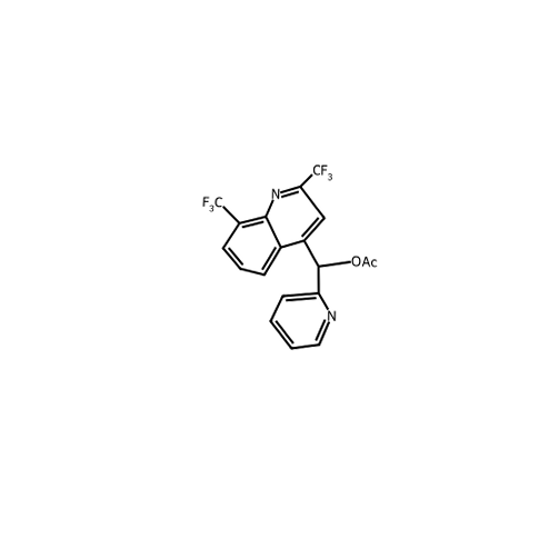 CC(=O)OC(c1ccccn1)c1cc(C(F)(F)F)nc2c(C(F)(F)F)cccc12